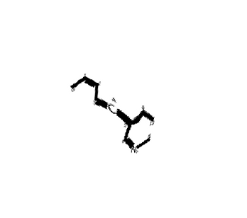 C/C=C\C=C=C(/C=N\C)CC